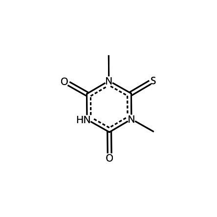 Cn1c(=O)[nH]c(=O)n(C)c1=S